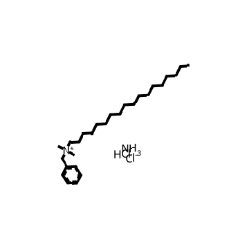 CCCCCCCCCCCCCCCCCC[N+](C)(C)Cc1ccccc1.Cl.N.[Cl-]